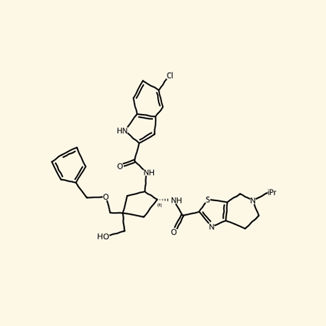 CC(C)N1CCc2nc(C(=O)N[C@@H]3CC(CO)(COCc4ccccc4)CC3NC(=O)c3cc4cc(Cl)ccc4[nH]3)sc2C1